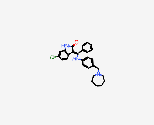 O=C1Nc2cc(Cl)ccc2C1=C(Nc1ccc(CN2CCCCCC2)cc1)c1ccccc1